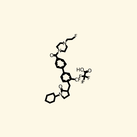 O=C(O)C(F)(F)F.O=C(c1ccc(-c2ccc(CC3CCN(C4CCCCC4)C3=O)c(C(F)(F)F)c2)cc1)N1CCN(CCF)CC1